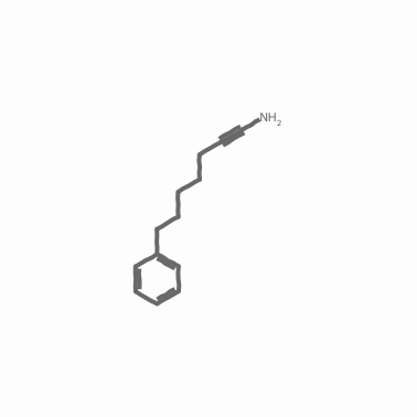 NC#CCCCCCc1ccccc1